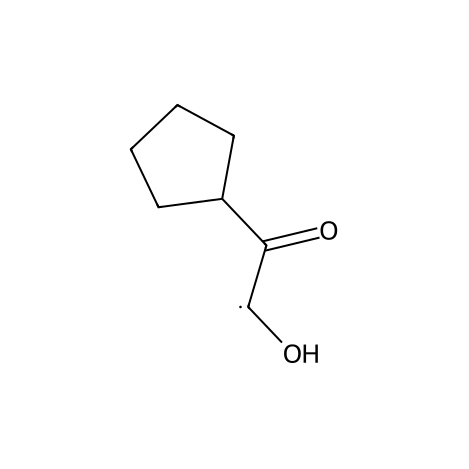 O=C([CH]O)C1CCCC1